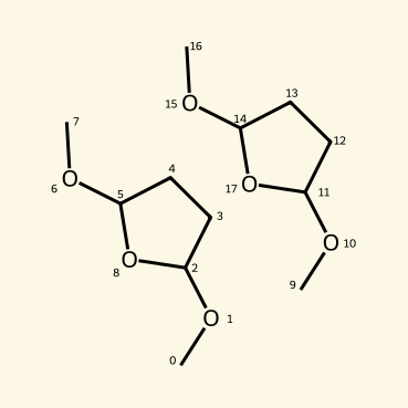 COC1CCC(OC)O1.COC1CCC(OC)O1